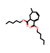 CCCCCOC(=O)C1=CC=CC(C)CC1C(=O)OCCCCC